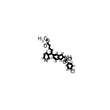 COC(=O)CCC=C(c1cccnc1)c1ccc2c(c1)CC(NS(=O)(=O)c1ccc(Cl)cc1)C2